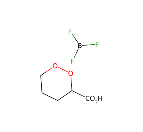 FB(F)F.O=C(O)C1CCCOO1